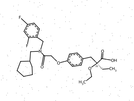 CCO[C@@](CC)(Cc1ccc(OCC(=O)N(Cc2ccc(F)cc2F)CC2CCCCC2)cc1)C(=O)O